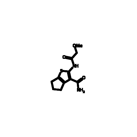 COCC(=O)Nc1sc2c(c1C(N)=O)CCC2